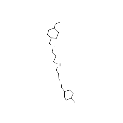 CC1CCC(COCCCNCCCOCC2CCC(CI)CC2)CC1